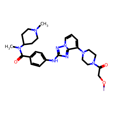 CN1CCC(N(C)C(=O)c2ccc(Nc3nc4c(N5CCN(C(=O)COI)CC5)cccn4n3)cc2)CC1